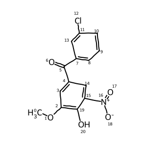 COc1cc(C(=O)c2cccc(Cl)c2)cc([N+](=O)[O-])c1O